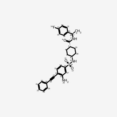 C[C@@H](NC(=O)[C@H]1CC[C@H](NS(=O)(=O)c2ccc(C#Cc3ccccc3)c(N)c2)CC1)c1ccc(F)cc1